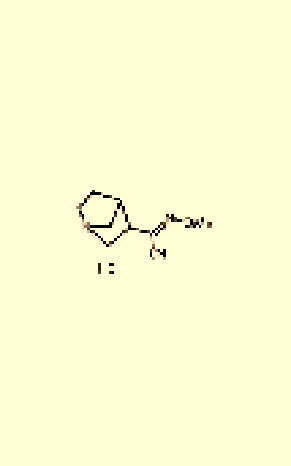 CON=C(C#N)C1CN2CCC1C2.Cl